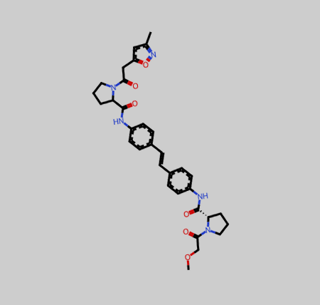 COCC(=O)N1CCC[C@H]1C(=O)Nc1ccc(/C=C/c2ccc(NC(=O)C3CCCN3C(=O)Cc3cc(C)no3)cc2)cc1